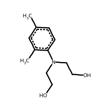 Cc1ccc(N(CCO)CCO)c(C)c1